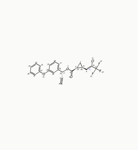 N#C[C@@H](OC(=O)[C@H]1C[C@H]1/C=C(\Cl)C(F)(F)F)c1cccc(Oc2ccccc2)c1